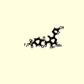 Cc1c(-c2ccc(C#N)s2)cc(C(C)(C)C)c(O)c1C(=O)Nc1ccc(S(=O)(=O)C(F)(F)F)cc1Cl